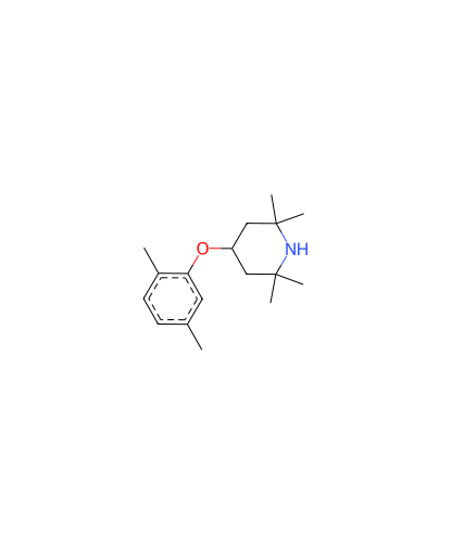 Cc1ccc(C)c(OC2CC(C)(C)NC(C)(C)C2)c1